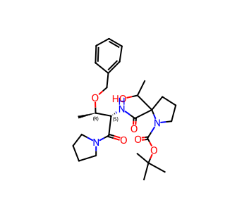 CC(O)C1(C(=O)N[C@H](C(=O)N2CCCC2)[C@@H](C)OCc2ccccc2)CCCN1C(=O)OC(C)(C)C